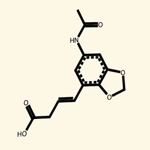 CC(=O)Nc1cc(C=CCC(=O)O)c2c(c1)OCO2